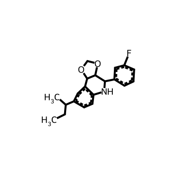 CCC(C)c1ccc2c(c1)C1OCOC1C(c1cccc(F)c1)N2